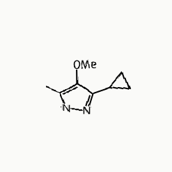 COC1=C(C)[N]N=C1C1CC1